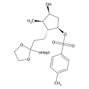 CCCCCCCC1(CC[C@@H]2[C@@H](C)[C@@H](O)C[C@H]2OS(=O)(=O)c2ccc(C)cc2)OCCO1